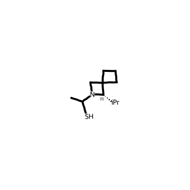 CC(C)[C@@H]1N(C(C)S)CC12CCC2